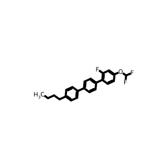 CCCCc1ccc(-c2ccc(-c3ccc(OC(F)F)cc3F)cc2)cc1